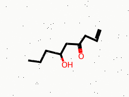 C=CCC(=O)CC(O)CCC